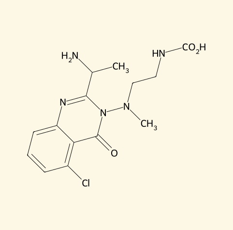 CC(N)c1nc2cccc(Cl)c2c(=O)n1N(C)CCNC(=O)O